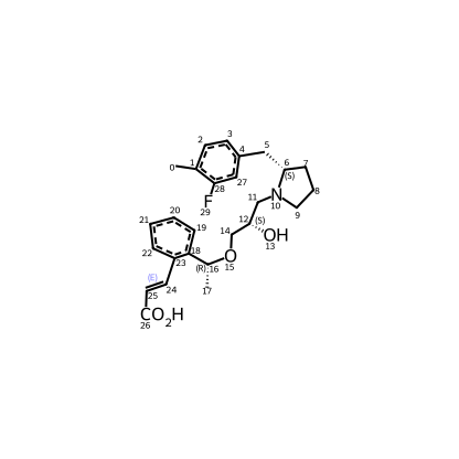 Cc1ccc(C[C@@H]2CCCN2C[C@H](O)CO[C@H](C)c2ccccc2/C=C/C(=O)O)cc1F